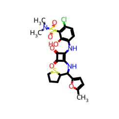 Cc1ccc(C(Nc2c(Nc3ccc(Cl)c(S(=O)(=O)N(C)C)c3O)c(=O)c2=O)C2CCCS2)o1